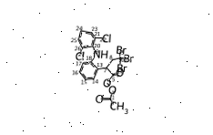 CC(=O)OOC(=O)C(CC(Br)(Br)Br)c1ccccc1Nc1c(Cl)cccc1Cl